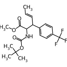 CC=CC(c1ccc(C(F)(F)F)cc1)C(NC(=O)OC(C)(C)C)C(=O)OC